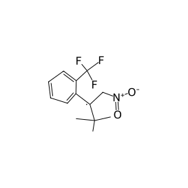 CC(C)(C)[C](C[N+](=O)[O-])c1ccccc1C(F)(F)F